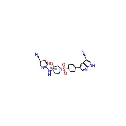 N#Cc1ccc(N[C@@H]2CCN(S(=O)(=O)c3ccc(-c4cnc5[nH]cc(C#N)c5c4)cc3)C[C@@H]2O)nc1